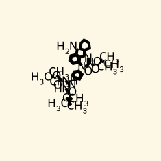 CC(C)(C)OC(=O)NC(=Nc1ccc(N2C(=O)N(C(=O)OC(C)(C)C)N=C(C3CCCCC3)c3c(CN)cccc32)cc1)NC(=O)OC(C)(C)C